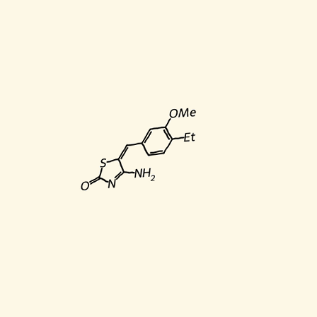 CCc1ccc(/C=C2/SC(=O)N=C2N)cc1OC